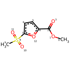 COC(=O)c1ccc(S(C)(=O)=O)o1